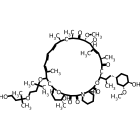 CO[C@@H]1C[C@H](C[C@@H](C)[C@@H]2CC(=O)[C@H](C)/C=C(\C)[C@@H](O)[C@@H](OC)C(=O)[C@H](C)C[C@H](C)/C=C/C=C/C=C(\C)C(OC(C)(C)CCOC(C)(C)CCO)C[C@@H]3CC[C@@H](C)[C@@](O)(O3)C(=O)C(=O)N3CCCC[C@H]3C(=O)O2)CC[C@H]1O